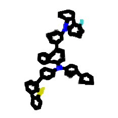 Fc1cccc2c1c1ccccc1n2-c1cccc(-c2ccc(N(c3ccc(-c4ccccc4)cc3)c3ccc(-c4cccc5c4sc4ccccc45)cc3)c3ccccc23)c1